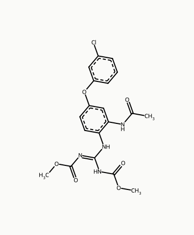 COC(=O)N=C(NC(=O)OC)Nc1ccc(Oc2cccc(Cl)c2)cc1NC(C)=O